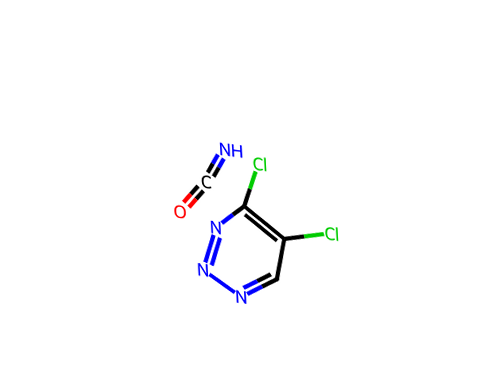 Clc1cnnnc1Cl.N=C=O